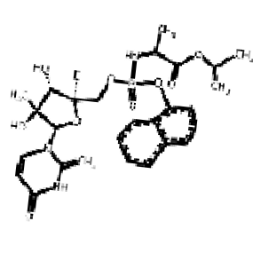 C=C1NC(=O)C=CN1[C@@H]1O[C@](F)(COP(=O)(NC(C)C(=O)OC(C)C)Oc2cccc3ccccc23)[C@@H](O)[C@@]1(C)O